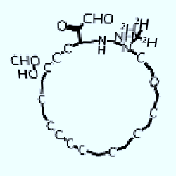 O=CO.[2H]C([2H])([2H])N1CCOCCCCCCCCCCCCCCCCCC(C(=O)C=O)NC1=N